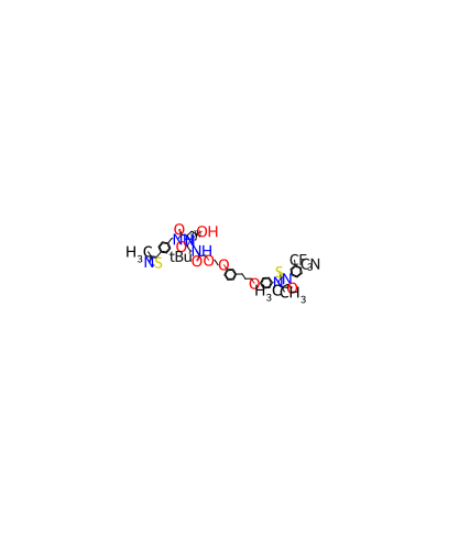 Cc1ncsc1-c1ccc(CNC(=O)C2C[C@@H](O)CN2C(=O)C(NC(=O)COCCOc2cccc(CCCOc3ccc(N4C(=S)N(c5ccc(C#N)c(C(F)(F)F)c5)C(=O)C4(C)C)cc3)c2)C(C)(C)C)cc1